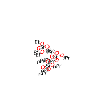 CC(C)O[Si](OC(C)C)(OC(C)C)OC(C)C.CCCO[Si](OCCC)(OCCC)OCCC.CCO[Si](OCC)(OCC)OCC